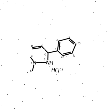 C=CC(NN(C)C)c1ccccc1.Cl